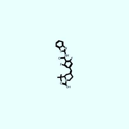 CC(C)(C)C1CC(=Cc2cc(F)c(C(=O)Nc3nc4ccccc4s3)c(F)c2)CCN1C(=O)O